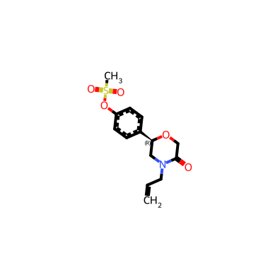 C=CCN1C[C@@H](c2ccc(OS(C)(=O)=O)cc2)OCC1=O